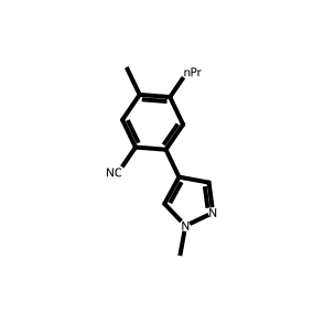 CCCc1cc(-c2cnn(C)c2)c(C#N)cc1C